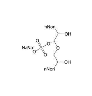 CCCCCCCCCC(O)COCC(O)CCCCCCCCC.O=S(=O)([O-])[O-].[Na+].[Na+]